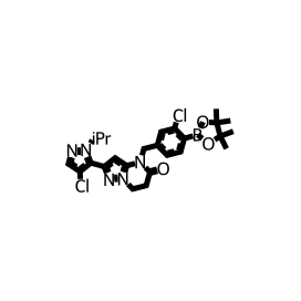 CC(C)n1ncc(Cl)c1-c1cc2n(n1)CCC(=O)N2Cc1ccc(B2OC(C)(C)C(C)(C)O2)c(Cl)c1